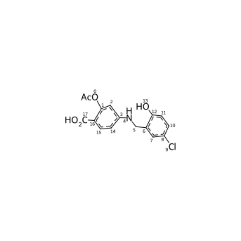 CC(=O)Oc1cc(NCc2cc(Cl)ccc2O)ccc1C(=O)O